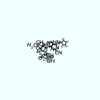 CC1(C)O[C@@H]2[C@H](O1)[C@@H](CS(=O)(=O)CP(=O)(O)O)O[C@H]2n1ncc2c(NC3CCCC3)nc(C#N)nc21